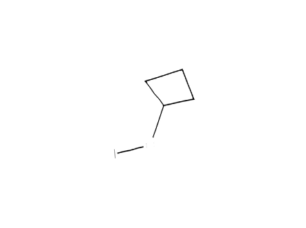 IOC1CCC1